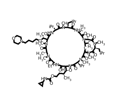 CC[C@@H]1NC(=O)[C@@H]2[C@@H]([C@H](C)CCOC(=O)NC3CC3)ON2C(=O)[C@H](C(C)C)N(C)C(=O)[C@@H]2CC(C)N(C(=O)[C@H](C)NC(=O)[C@H](CC(C)C)N(C)C(=O)[C@H](C(C)C)NC(=O)C([C@@H](C)OCCCCN3CCOCC3)N(C)C(=O)[C@@H](C)N(C)C1=O)[C@H](C)C(=O)N(C)[C@@H](CC(C)C)C(=O)N2C